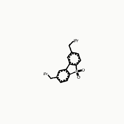 CC(C)Cc1ccc2c(c1)-c1cc(CC(C)C)ccc1S2(=O)=O